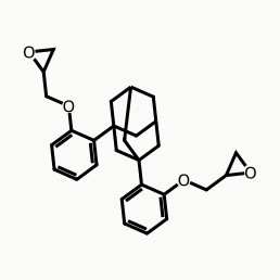 c1ccc(C23CC4CC(C2)CC(c2ccccc2OCC2CO2)(C4)C3)c(OCC2CO2)c1